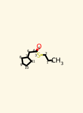 CCCSC(=O)CC1CCCC1